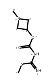 CSC(=N)NC(=O)OC1CN(C)C1